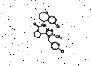 Cc1nnc(C2CCCN2C(=O)NC2CCCOc3ccc(Cl)cc32)n1Cc1ccc(Cl)cc1